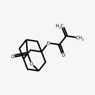 C=C(C)C(=O)OC12CC3CC(C1)OC(=O)C(C3)C2